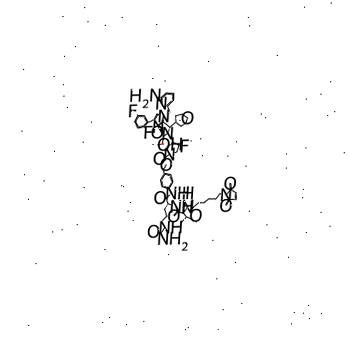 CC(C)[C@H](NC(=O)CCCCCN1C(=O)C=CC1=O)C(=O)N[C@@H](CCCNC(N)=O)C(=O)Nc1ccc(COC(=O)N2C[C@@H](CN(C(=O)[C@H](C)O)[C@@H](c3nc(-c4cc(F)ccc4F)cn3Cc3cccc(N)n3)C3CCOCC3)[C@@H](F)C2)cc1